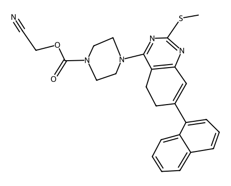 CSc1nc2c(c(N3CCN(C(=O)OCC#N)CC3)n1)CCC(c1cccc3ccccc13)=C2